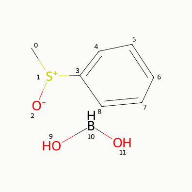 C[S+]([O-])c1ccccc1.OBO